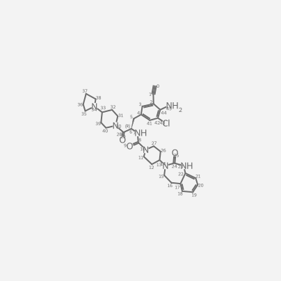 C#Cc1cc(C[C@@H](NC(=O)N2CCC(N3CCc4ccccc4NC3=O)CC2)C(=O)N2CCC(N3CCCC3)CC2)cc(Cl)c1N